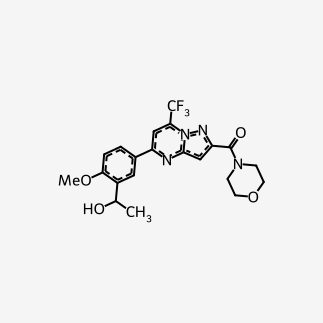 COc1ccc(-c2cc(C(F)(F)F)n3nc(C(=O)N4CCOCC4)cc3n2)cc1C(C)O